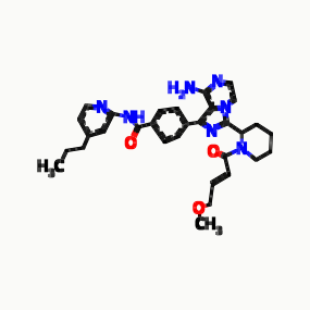 CCCc1ccnc(NC(=O)c2ccc(-c3nc(C4CCCCN4C(=O)C=CCOC)n4ccnc(N)c34)cc2)c1